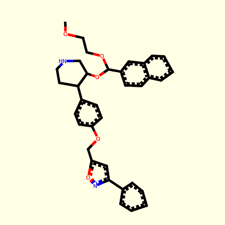 COCCOC(OC1CNCCC1c1ccc(OCc2cc(-c3ccccc3)no2)cc1)c1ccc2ccccc2c1